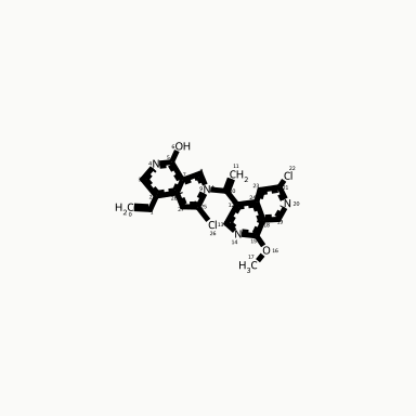 C=Cc1cnc(O)c2c[n+](C(=C)c3cnc(OC)c4cnc(Cl)cc34)c(Cl)cc12